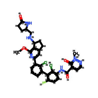 COc1nc(-c2cccc(-c3c(F)ccc(NC(=O)c4ccnn(C)c4=O)c3Cl)c2Cl)cc2c1C(NCC1CCC(=O)N1)CC2